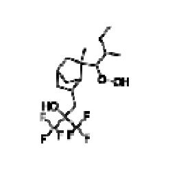 CCC(C)C(OO)C1(C)CC2CC(CC(O)(C(F)(F)F)C(F)(F)F)C1C2